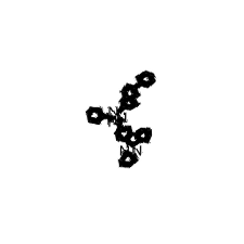 c1ccc(-c2ccc3cc(-c4nc(-c5ccccc5)nc(-c5ccc(-c6nc7ccccc7nc6-c6ccccc6)cc5)n4)ccc3c2)cc1